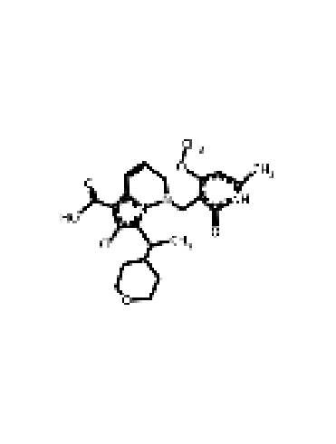 COc1cc(C)[nH]c(=O)c1CN1CC=Cc2c(C(=O)O)c(Cl)c(C(C)C3CCOCC3)n21